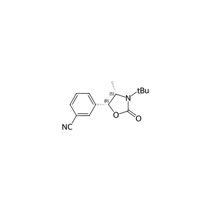 C[C@H]1[C@@H](c2cccc(C#N)c2)OC(=O)N1C(C)(C)C